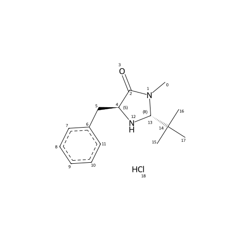 CN1C(=O)[C@H](Cc2ccccc2)N[C@H]1C(C)(C)C.Cl